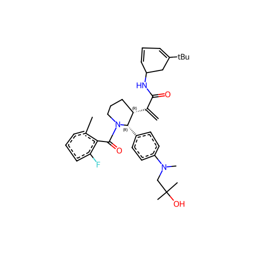 C=C(C(=O)NC1C=CC=C(C(C)(C)C)C1)[C@H]1CCCN(C(=O)c2c(C)cccc2F)[C@H]1c1ccc(N(C)CC(C)(C)O)cc1